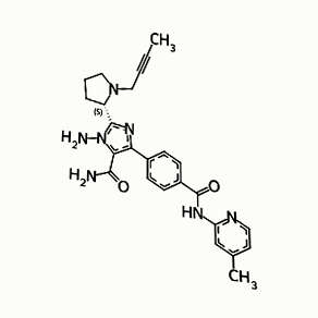 CC#CCN1CCC[C@H]1c1nc(-c2ccc(C(=O)Nc3cc(C)ccn3)cc2)c(C(N)=O)n1N